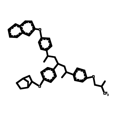 CC(CC(CC(C)c1ccc(Oc2ccc3ccccc3c2)cc1)c1ccc(OC2CC3CCC2C3)cc1)c1ccc(OCC(C)C(F)(F)F)cc1